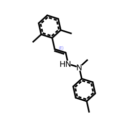 Cc1ccc(N(C)N/C=C/c2c(C)cccc2C)cc1